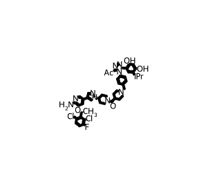 CC(=O)c1nnc(-c2cc(C(C)C)c(O)cc2O)n1-c1ccc(CN2CCC(C(=O)N3CCC(n4cc(-c5cnc(N)c(O[C@H](C)c6c(Cl)ccc(F)c6Cl)c5)cn4)CC3)CC2)cc1